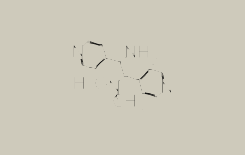 CN(C)C(c1ccncc1)C(N)c1ccncc1